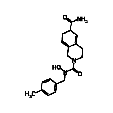 Cc1ccc(CN(O)C(=O)N2CCC3=CC(C(N)=O)CC=C3C2)cc1